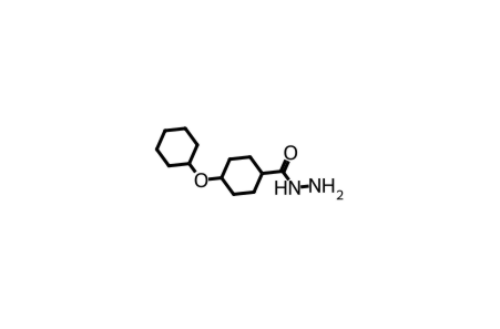 NNC(=O)C1CCC(OC2CCCCC2)CC1